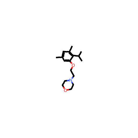 Cc1cc(C)c(C(C)C)c(OCCN2CCOCC2)c1